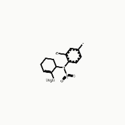 CCOC(=O)C1=CCCCC1N(c1ccc(F)cc1Cl)[SH](=O)=O